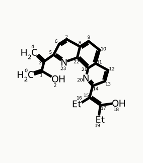 C=C(O)C(=C)c1ccc2ccc3ccc(/C(CC)=C(\O)CC)nc3c2n1